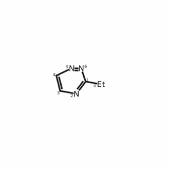 CCc1nc[c]nn1